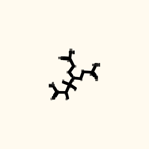 CC(C(=O)O)C(C)(C)N(CCC(=O)O)CCC(=O)O